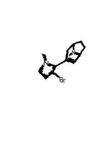 CN1C2C=C(c3c(Br)ccn3C)CC1CC2